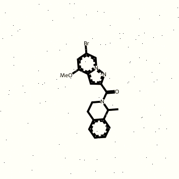 COc1cc(Br)cn2nc(C(=O)N3CCc4ccccc4C3C)cc12